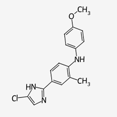 COc1ccc(Nc2ccc(-c3ncc(Cl)[nH]3)cc2C)cc1